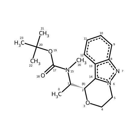 CC([C@H]1OCCn2nc3ccccc3c21)N(C)C(=O)OC(C)(C)C